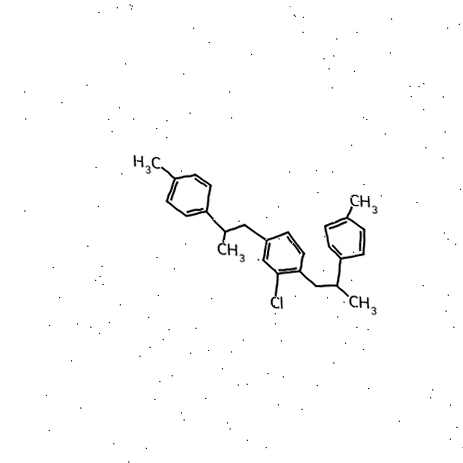 Cc1ccc(C(C)Cc2[c]c(Cl)c(CC(C)c3ccc(C)cc3)cc2)cc1